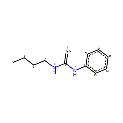 CCCCNC(=[Se])Nc1ccccc1